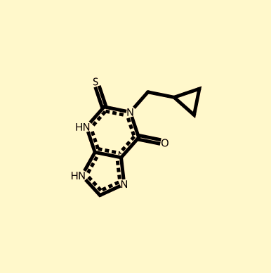 O=c1c2nc[nH]c2[nH]c(=S)n1CC1CC1